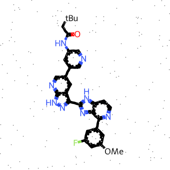 COc1cc(F)cc(-c2nccc3[nH]c(-c4n[nH]c5ncc(-c6cncc(NC(=O)CC(C)(C)C)c6)cc45)nc23)c1